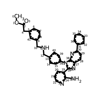 COC(=O)Cc1cccc(CNCc2ccc(-n3c(-c4cccnc4N)nc4ccc(-c5ccccc5)nc43)cc2)c1